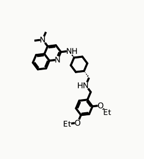 CCOc1ccc(CNC[C@H]2CC[C@@H](Nc3cc(N(C)C)c4ccccc4n3)CC2)c(OCC)c1